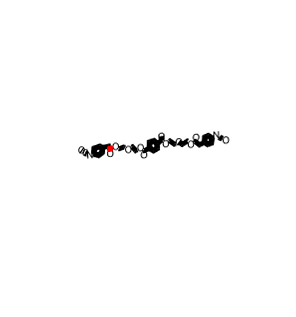 O=C=Nc1ccc(CC(=O)OCCOCCOC(=O)c2ccc(C(=O)OCCOCCOC(=O)Cc3ccc(N=C=O)cc3)cc2)cc1